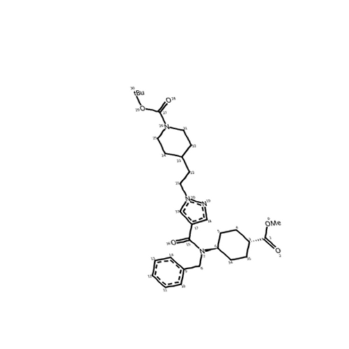 COC(=O)[C@H]1CC[C@H](N(Cc2ccccc2)C(=O)c2cnn(CCC3CCN(C(=O)OC(C)(C)C)CC3)c2)CC1